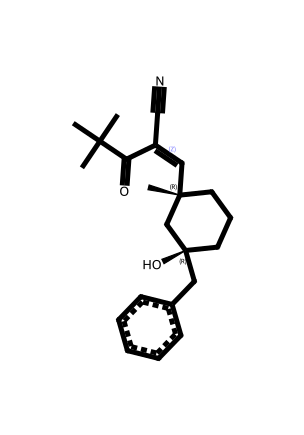 CC(C)(C)C(=O)/C(C#N)=C\[C@]1(C)CCC[C@](O)(Cc2ccccc2)C1